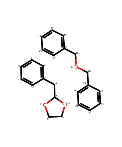 c1ccc(CC2OCCO2)cc1.c1ccc(COCc2ccccc2)cc1